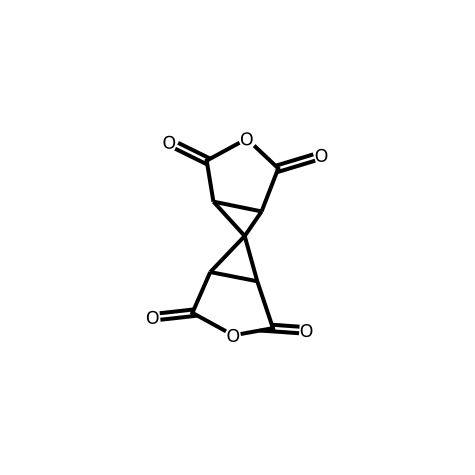 O=C1OC(=O)C2C1C21C2C(=O)OC(=O)C21